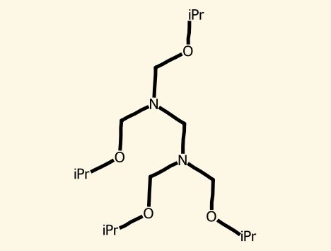 CC(C)OCN(COC(C)C)CN(COC(C)C)COC(C)C